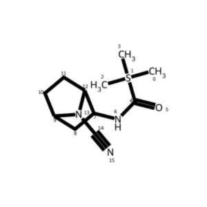 CS(C)(C)C(=O)NC1CC2CCC1N2C#N